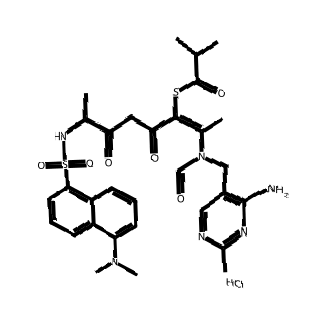 CC(=C(SC(=O)C(C)C)C(=O)CC(=O)C(C)NS(=O)(=O)c1cccc2c(N(C)C)cccc12)N(C=O)Cc1cnc(C)nc1N.Cl